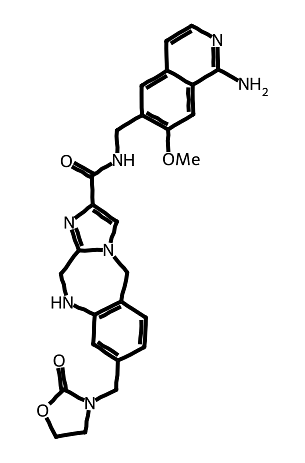 COc1cc2c(N)nccc2cc1CNC(=O)c1cn2c(n1)CNc1cc(CN3CCOC3=O)ccc1C2